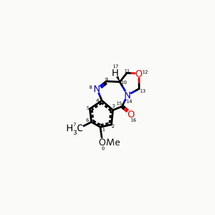 COc1cc2c(cc1C)N=C[C@@H]1COCN1C2=O